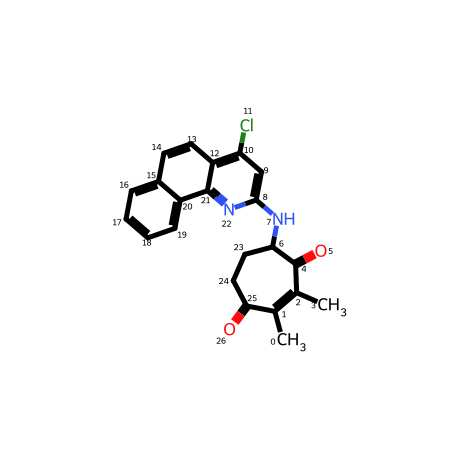 CC1=C(C)C(=O)C(Nc2cc(Cl)c3ccc4ccccc4c3n2)CCC1=O